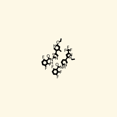 CCOc1cc(C)c(-c2cnc(NC(=O)c3c(F)ccc(F)c3F)s2)cn1.CCn1nc(C(F)(F)F)cc1-c1ccc(NC(=O)c2c(F)ccc(F)c2F)nc1